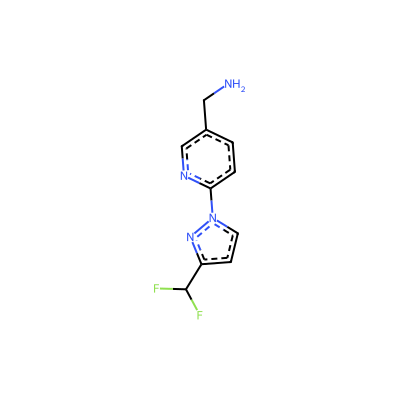 NCc1ccc(-n2ccc(C(F)F)n2)nc1